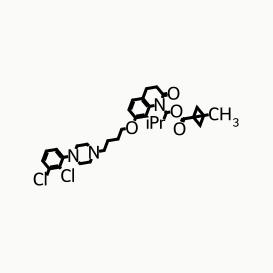 CC(C)C(OC(=O)C12CC1(C)C2)N1C(=O)CCc2ccc(OCCCCN3CCN(c4cccc(Cl)c4Cl)CC3)cc21